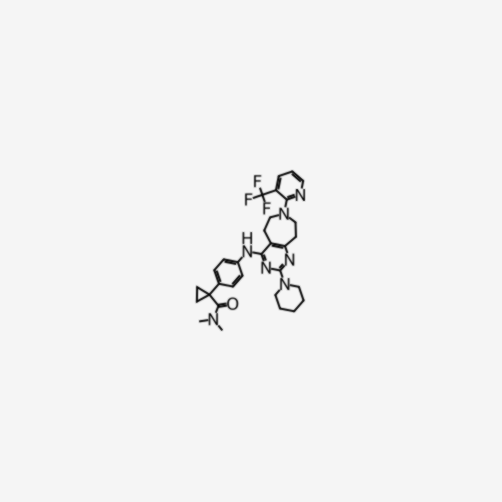 CN(C)C(=O)C1(c2ccc(Nc3nc(N4CCCCC4)nc4c3CCN(c3ncccc3C(F)(F)F)CC4)cc2)CC1